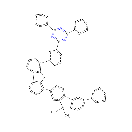 CC1(C)c2ccc(-c3ccccc3)cc2-c2ccc(-c3cccc4c3Cc3c(-c5cccc(-c6nc(-c7ccccc7)nc(-c7ccccc7)n6)c5)cccc3-4)cc21